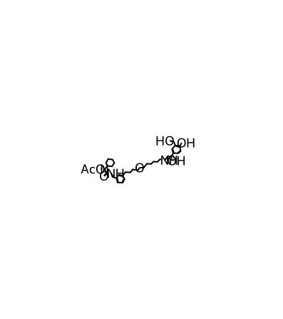 CC(=O)ON(C(=O)NCc1cccc(CCCCOCCCCCCNC[C@@H](O)c2ccc(O)c(CO)c2)c1)C1CCCCC1